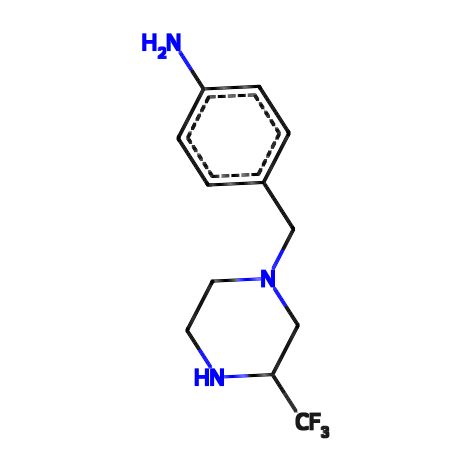 Nc1ccc(CN2CCNC(C(F)(F)F)C2)cc1